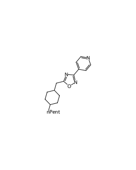 CCCCCC1CCC(Cc2nc(-c3ccncc3)no2)CC1